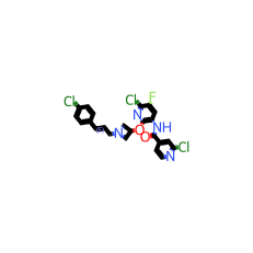 O=C(Nc1cc(F)c(Cl)nc1OC1CN(C/C=C/c2ccc(Cl)cc2)C1)c1ccnc(Cl)c1